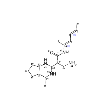 C/C=C/C=C(\C)NC(=O)C(CN)C1NC(C)C2CCCC2N1